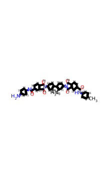 Cc1ccc(NC(=O)c2ccc3c(c2)C(=O)N(c2ccc(-c4ccc(N5C(=O)c6ccc(C(=O)Nc7ccc(N)cc7)cc6C5=O)cc4C)c(C)c2)C3=O)cc1